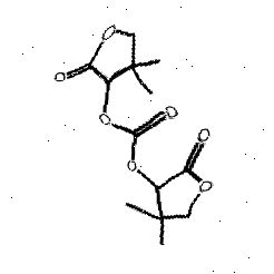 CC1(C)COC(=O)C1OC(=O)OC1C(=O)OCC1(C)C